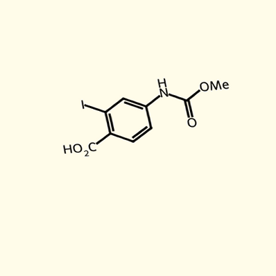 COC(=O)Nc1ccc(C(=O)O)c(I)c1